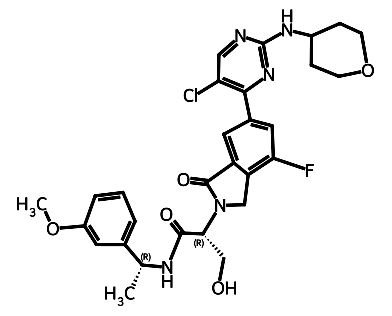 COc1cccc([C@@H](C)NC(=O)[C@@H](CO)N2Cc3c(F)cc(-c4nc(NC5CCOCC5)ncc4Cl)cc3C2=O)c1